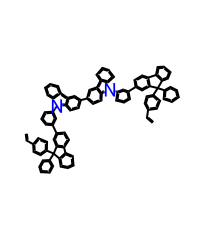 C=Cc1ccc(C2(c3ccccc3)c3ccccc3-c3ccc(-c4cccc(-n5c6ccccc6c6cc(-c7ccc8c(c7)c7ccccc7n8-c7cccc(-c8ccc9c(c8)C(c8ccccc8)(c8ccc(C=C)cc8)c8ccccc8-9)c7)ccc65)c4)cc32)cc1